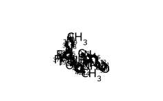 C=C/N=C1/C=CC(N2CCOCC2)=N/C1=C(/N)Nc1cc(C(=O)Nc2cc(N3CCN(C)CC3)cc(C(F)(F)F)c2)ccc1C